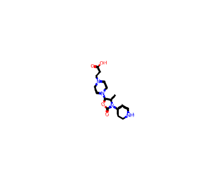 CC1C(N2CCN(CCC(=O)O)CC2)OC(=O)N1C1CCNCC1